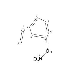 C=O.O=[N+]([O-])Oc1ccccc1